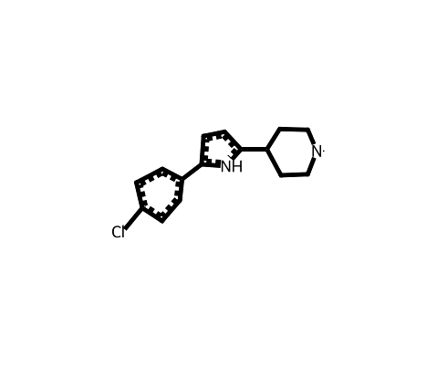 Clc1ccc(-c2ccc(C3CC[N]CC3)[nH]2)cc1